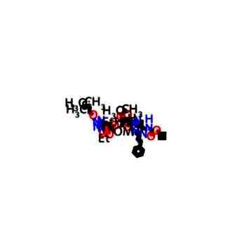 CCOP(=O)(OCC)[C@@](COC)(Cc1nnn(COCC[Si](C)(C)C)n1)OC[C@H]1O[C@@H](n2ncc3c(NC(=O)OC4CCC4)nc(/C=C/c4ccccc4)nc32)[C@@H]2OC(C)(C)O[C@@H]21